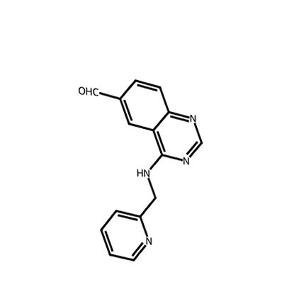 O=Cc1ccc2ncnc(NCc3ccccn3)c2c1